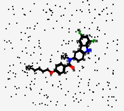 CCCCCOc1ccc(C(=O)N(C)C2CCc3[nH]c4c(F)cc(F)cc4c3C2)cc1